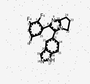 Fc1cc(F)c(F)c(-c2nc3n(c2-c2ccc4[nH]ncc4c2)CCC3)c1